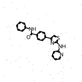 O=C(Nc1ccccc1)c1ccc(-c2csc(Nc3ccccn3)n2)cc1